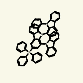 c1ccc(-n2c3ccccc3c3cccc(-n4c5ccccc5c5cc([Si](c6ccccc6)(c6ccccc6)c6ccccc6)cc(-n6c7ccccc7c7ccccc76)c54)c32)cc1